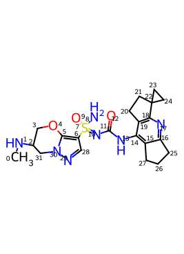 CNC1COc2c(S(N)(=O)=NC(=O)Nc3c4c(nc5c3CCC53CC3)CCC4)cnn2C1